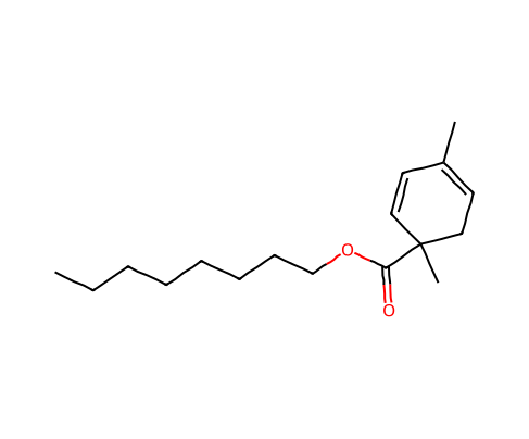 CCCCCCCCOC(=O)C1(C)C=CC(C)=CC1